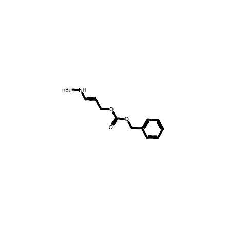 CCCCN/C=C/COC(=O)OCc1ccccc1